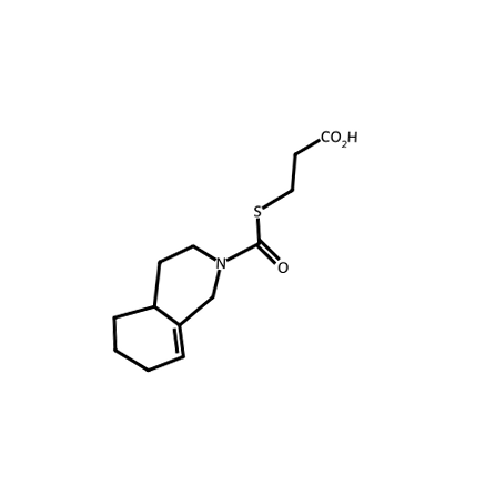 O=C(O)CCSC(=O)N1CCC2CCCC=C2C1